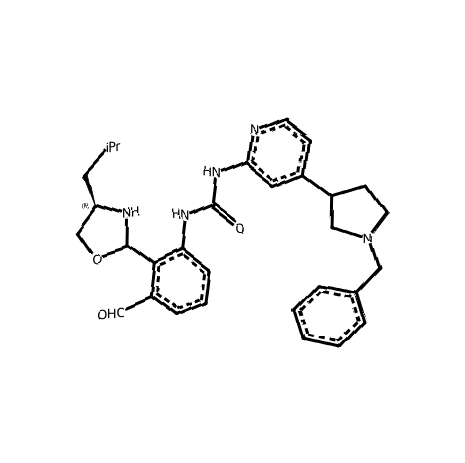 CC(C)C[C@@H]1COC(c2c(C=O)cccc2NC(=O)Nc2cc(C3CCN(Cc4ccccc4)C3)ccn2)N1